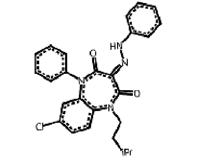 CC(C)CCn1c(=O)/c(=N/Nc2ccccc2)c(=O)n(-c2ccccc2)c2cc(Cl)ccc21